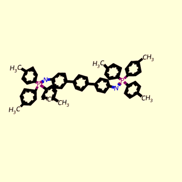 Cc1ccc(P(=Nc2ccc(-c3ccc(-c4ccc(N=P(c5ccc(C)cc5)(c5ccc(C)cc5)c5ccc(C)cc5)cc4)cc3)cc2)(c2ccc(C)cc2)c2ccc(C)cc2)cc1